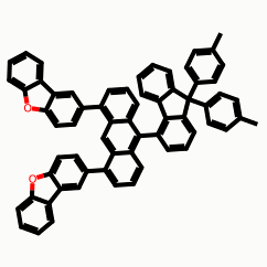 Cc1ccc(C2(c3ccc(C)cc3)c3ccccc3-c3c(-c4c5cccc(-c6ccc7oc8ccccc8c7c6)c5cc5c(-c6ccc7oc8ccccc8c7c6)cccc45)cccc32)cc1